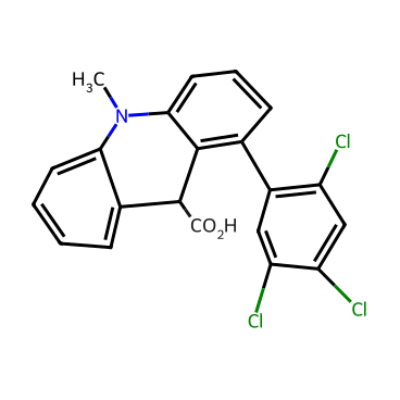 CN1c2ccccc2C(C(=O)O)c2c(-c3cc(Cl)c(Cl)cc3Cl)cccc21